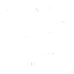 CC1OCc2c1c(Cl)nc1cc(CCl)ccc21.COC(=O)C1C(=O)COC1C